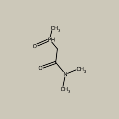 CN(C)C(=O)C[PH](C)=O